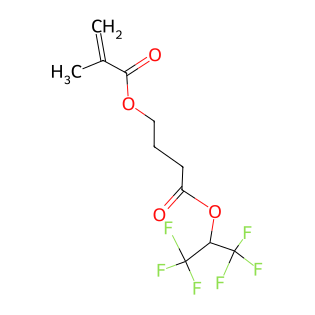 C=C(C)C(=O)OCCCC(=O)OC(C(F)(F)F)C(F)(F)F